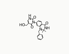 CC1(C)NC(=O)c2ccc(-n3c(=O)[nH]cc(CO)c3=O)cc2N1Cc1ccccc1